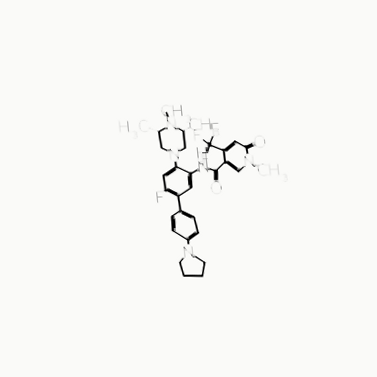 C[C@@H]1CN(c2cc(F)c(-c3ccc(N4CCCC4)cc3)cc2NC(=O)c2cn(C)c(=O)cc2C(F)(F)F)C[C@H](C)N1C